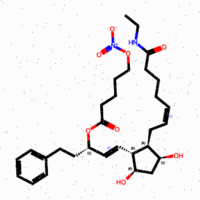 CCNC(=O)CCC/C=C\C[C@@H]1[C@@H](/C=C/[C@H](CCc2ccccc2)OC(=O)CCCCO[N+](=O)[O-])[C@H](O)C[C@@H]1O